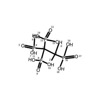 CC(C)(C(P(=O)(O)O)(P(=O)(O)O)P(=O)(O)O)P(=O)(O)O